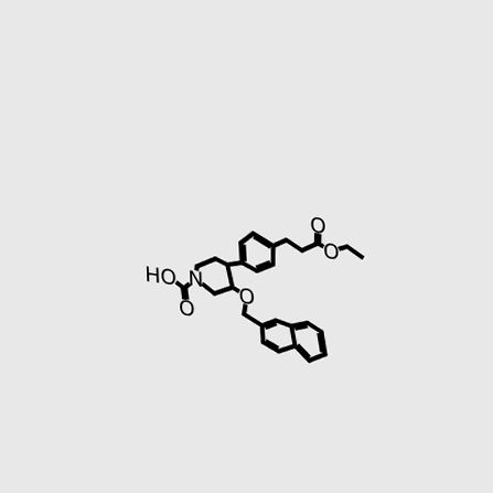 CCOC(=O)CCc1ccc(C2CCN(C(=O)O)CC2OCc2ccc3ccccc3c2)cc1